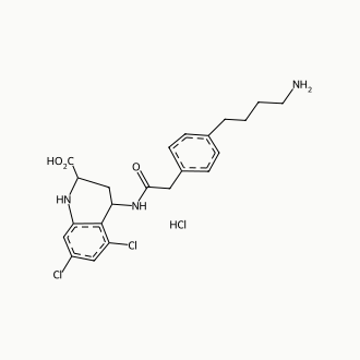 Cl.NCCCCc1ccc(CC(=O)NC2CC(C(=O)O)Nc3cc(Cl)cc(Cl)c32)cc1